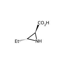 CC[C@H]1N[C@@H]1C(=O)O